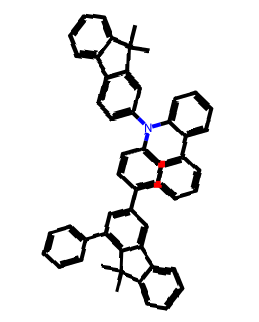 CC1(C)c2ccccc2-c2ccc(N(c3ccc(-c4cc(-c5ccccc5)c5c(c4)-c4ccccc4C5(C)C)cc3)c3ccccc3-c3ccccc3)cc21